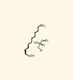 CCCCCCCC/C=C\CCCCCCCCN.CCOP(=O)(O)OCC